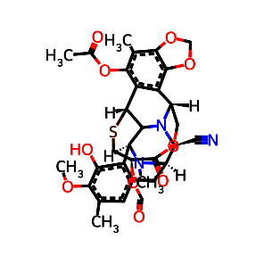 COc1c(C)cc2c(c1O)[C@H]1C3[C@@H]4SC[C@H](OC=O)C(=O)OC[C@@H](c5c6c(c(C)c(OC(C)=O)c54)OCO6)N3[C@@H](C#N)[C@@H](C2)N1C